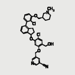 CN1CCC[C@@H](COc2cccc(-c3cccc4c3CC[C@H]4Oc3cc(OCc4cncc(C#N)c4)c(CO)cc3Cl)c2Cl)C1